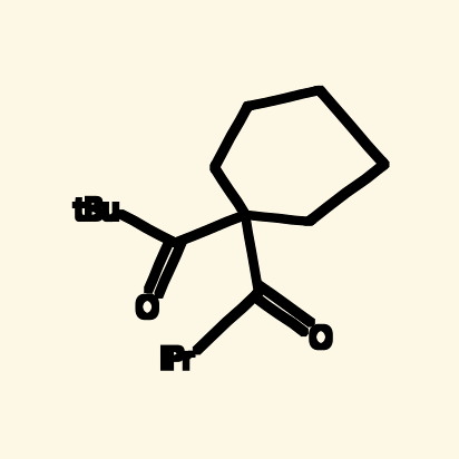 CC(C)C(=O)C1(C(=O)C(C)(C)C)CCCCC1